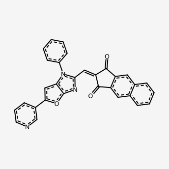 O=C1C(=Cc2nc3oc(-c4cccnc4)cc3n2-c2ccccc2)C(=O)c2cc3ccccc3cc21